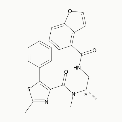 Cc1nc(C(=O)N(C)[C@@H](C)CNC(=O)c2cccc3occc23)c(-c2ccccc2)s1